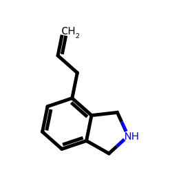 C=CCc1cccc2c1CNC2